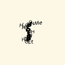 CCc1cc2ncc(CNC3CCC(Nc4ccc(C(=O)NC)nc4C)CC3)cc2[nH]c1=O